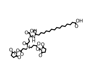 O=C(O)CCCCCCCCCCCCCCC(=O)N[C@H](CCC(=O)N(CCC(=O)ON1C(=O)CCC1=O)CCC(=O)ON1C(=O)CCC1=O)C(=O)O